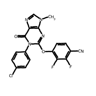 Cn1cnc2c(=O)n(-c3ccc(Cl)cc3)c(Oc3ccc(C#N)c(F)c3F)nc21